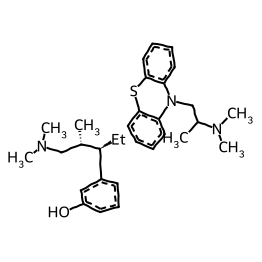 CC(CN1c2ccccc2Sc2ccccc21)N(C)C.CC[C@@H](c1cccc(O)c1)[C@@H](C)CN(C)C